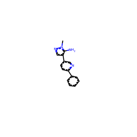 Cn1ncc(-c2ccc(-c3ccccc3)nc2)c1N